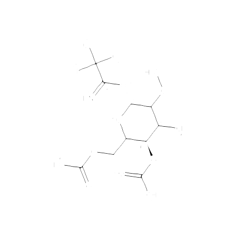 COC1C(C)[C@@H](OC(C)=O)C(COC(C)=O)O[C@@H]1OC(=N)C(Cl)(Cl)Cl